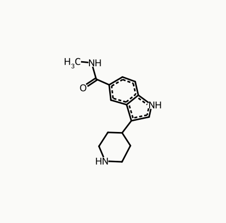 CNC(=O)c1ccc2[nH]cc(C3CCNCC3)c2c1